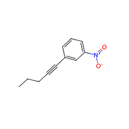 CCCC#Cc1cccc([N+](=O)[O-])c1